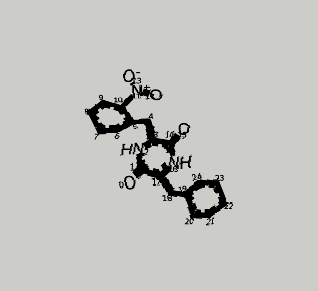 O=c1[nH]/c(=C\c2ccccc2[N+](=O)[O-])c(=O)[nH]/c1=C\c1ccccc1